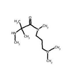 CNC(C)(C)C(=O)N(C)CCCN(C)C